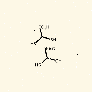 CCCCCC(O)O.O=C(O)C(S)S